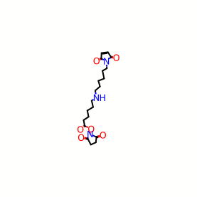 O=C(CCCCCNCCCCCCN1C(=O)C=CC1=O)ON1C(=O)CCC1=O